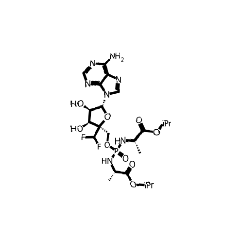 CC(C)OC(=O)[C@H](C)NP(=O)(N[C@@H](C)C(=O)OC(C)C)OC[C@@]1(C(F)F)O[C@@H](n2cnc3c(N)ncnc32)[C@H](O)[C@@H]1O